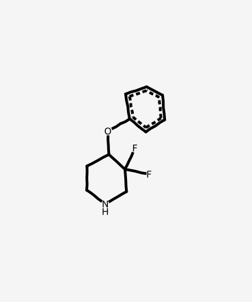 FC1(F)CNCCC1Oc1ccccc1